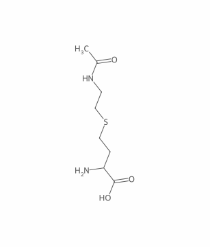 CC(=O)NCCSCCC(N)C(=O)O